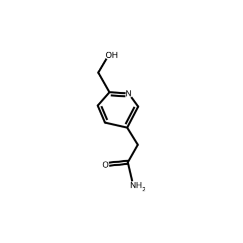 NC(=O)Cc1ccc(CO)nc1